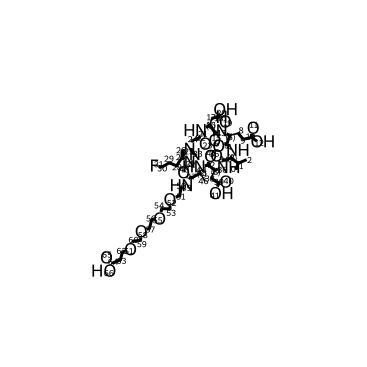 CC(C)[C@H](NC(=O)[C@H](CCC(=O)O)NC(=O)[C@H](CC(=O)O)NC(=O)Cn1cc(CCCF)nn1)C(=O)N[C@@H](CC(=O)O)C(=O)N[C@@H](C)C(=O)NCCOCCOCCOCCOCCC(=O)O